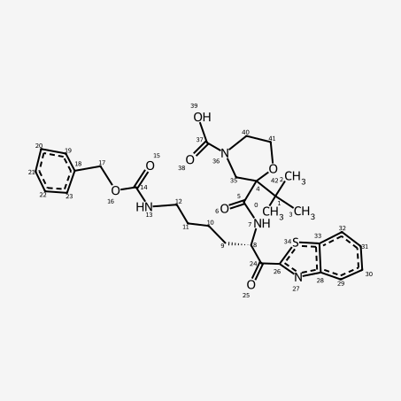 CC(C)(C)C1(C(=O)N[C@@H](CCCCNC(=O)OCc2ccccc2)C(=O)c2nc3ccccc3s2)CN(C(=O)O)CCO1